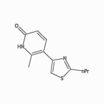 CCCc1nc(-c2ccc(=O)[nH]c2C)cs1